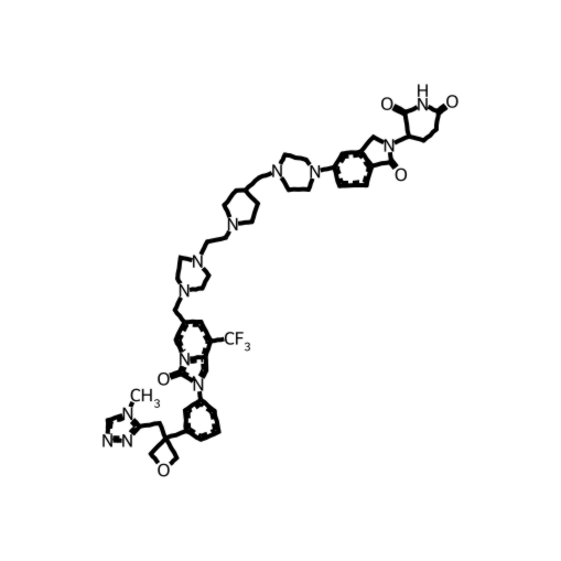 Cn1cnnc1CC1(c2cccc(-n3cc4c(C(F)(F)F)cc(CN5CCN(CCN6CCC(CN7CCN(c8ccc9c(c8)CN(C8CCC(=O)NC8=O)C9=O)CC7)CC6)CC5)cn4c3=O)c2)COC1